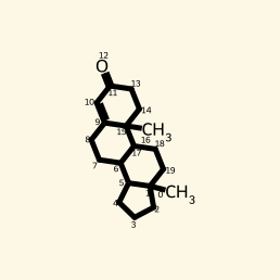 CC12CCCC1C1CCC3=CC(=O)CCC3(C)C1CC2